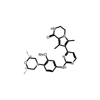 COc1cc(Nc2nccc(-c3c(C)c4n(c3C)CCNC4=O)n2)ccc1N1C[C@@H](C)O[C@@H](C)C1